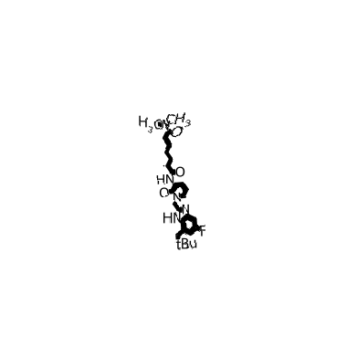 CN(C)C(=O)/C=C/CC[CH]C(=O)Nc1cccn(Cc2nc3cc(F)cc(CC(C)(C)C)c3[nH]2)c1=O